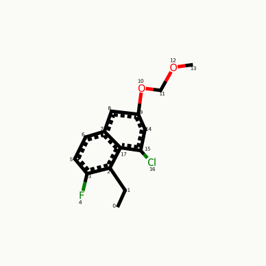 CCc1c(F)ccc2cc(OCOC)cc(Cl)c12